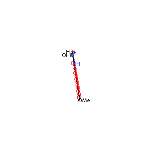 C/C=C\C(=O)N(C=O)CCCCCCCC(=O)NCCOCCOCCOCCOCCOCCOCCOCCOCCOCCOCCOCCOC